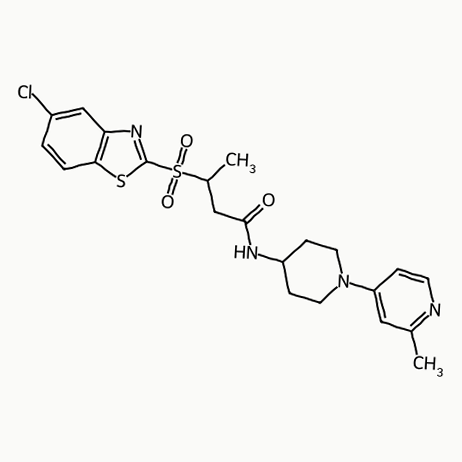 Cc1cc(N2CCC(NC(=O)CC(C)S(=O)(=O)c3nc4cc(Cl)ccc4s3)CC2)ccn1